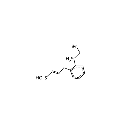 CC(C)C[SiH2]c1ccccc1CC=CS(=O)(=O)O